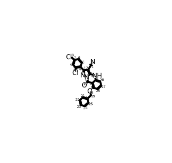 N#Cc1c(-c2ccc(Cl)cc2Cl)nn2c(=O)c3c(OCc4ccccc4)cccc3[nH]c12